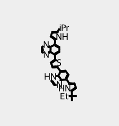 CCC(C)(C)c1ccc(C2=CC=C(c3ccc(-c4ccc(-c5ccc(C(C)C)[nH]5)c5nccnc45)s3)C3NC=CN=C23)[nH]1